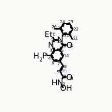 CCc1nc2c(P)cc(/C=C/C(=O)NO)cc2c(=O)n1-c1c(C)cccc1C